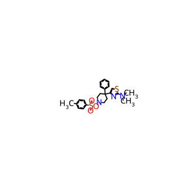 Cc1ccc(S(=O)(=O)ON2CCC(c3ccccc3)(c3csc(N(C)C)n3)CC2)cc1